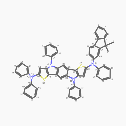 CC1(C)c2ccccc2-c2ccc(N(c3ccccc3)c3cc4c(s3)c3cc5c(cc3n4-c3ccccc3)c3sc(N(c4ccccc4)c4ccccc4)cc3n5-c3ccccc3)cc21